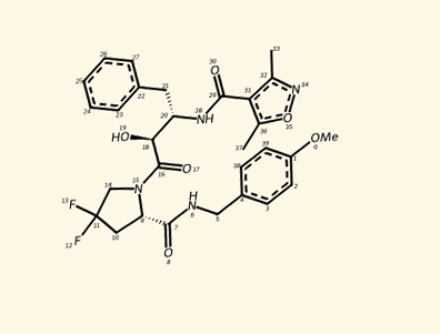 COc1ccc(CNC(=O)[C@@H]2CC(F)(F)CN2C(=O)[C@@H](O)[C@H](Cc2ccccc2)NC(=O)c2c(C)noc2C)cc1